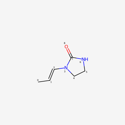 CC=CN1CCNC1=O